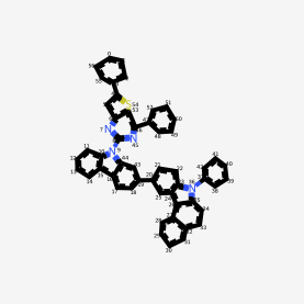 c1ccc(-c2cc3nc(-n4c5ccccc5c5ccc(-c6ccc7c(c6)c6c8ccccc8ccc6n7-c6ccccc6)cc54)nc(-c4ccccc4)c3s2)cc1